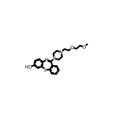 COCCOCCN1CCN(C2=Nc3ccc(O)cc3Sc3ccccc32)CC1